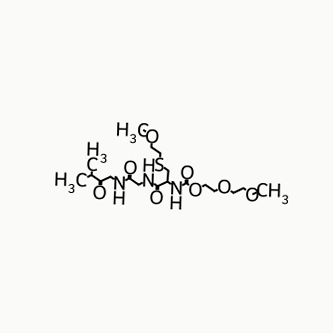 COCCOCCOC(=O)NC(CSCCOC)C(=O)NCC(=O)NCC(=O)C(C)C